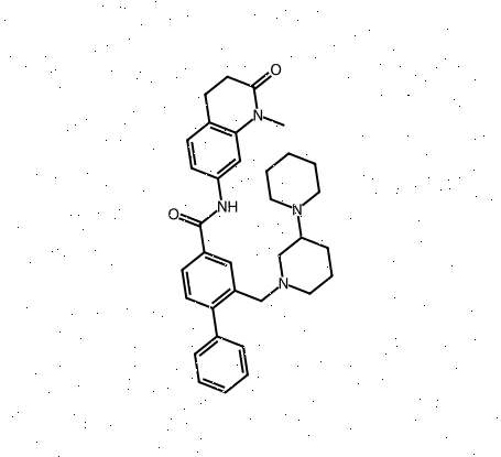 CN1C(=O)CCc2ccc(NC(=O)c3ccc(-c4ccccc4)c(CN4CCCC(N5CCCCC5)C4)c3)cc21